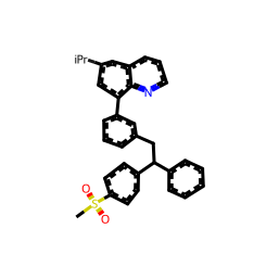 CC(C)c1cc(-c2cccc(CC(c3ccccc3)c3ccc(S(C)(=O)=O)cc3)c2)c2ncccc2c1